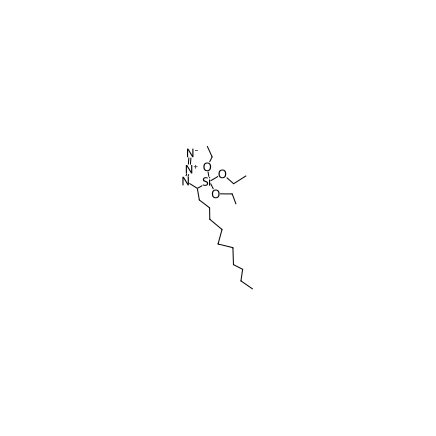 CCCCCCCCCCC(N=[N+]=[N-])[Si](OCC)(OCC)OCC